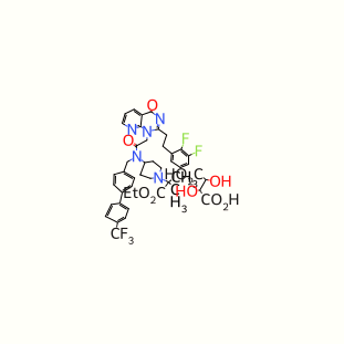 CCOC(=O)C(C)(C)N1CCC(N(Cc2ccc(-c3ccc(C(F)(F)F)cc3)cc2)C(=O)Cn2c(CCc3cccc(F)c3F)nc(=O)c3cccnc32)CC1.O=C(O)C(O)C(O)C(=O)O